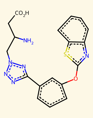 NC(CC(=O)O)Cn1nnc(-c2cccc(Oc3nc4ccccc4s3)c2)n1